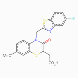 COc1ccc2c(c1)SC(CC(=O)O)C(=O)N2Cc1nc2cc(F)ccc2s1